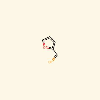 P=Cc1ccco1